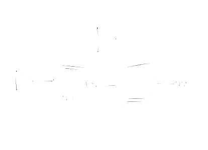 CNC1=CCC(N/C(=C\C(=N)C2CC2)C2CC2)C(F)=C1